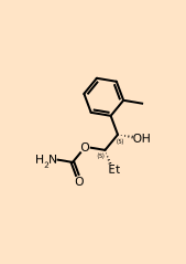 CC[C@H](OC(N)=O)[C@@H](O)c1ccccc1C